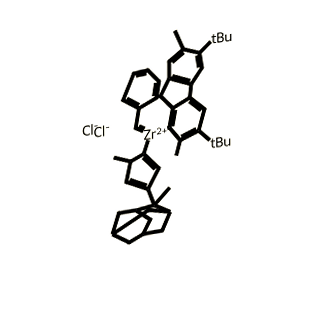 Cc1cc2c(cc1C(C)(C)C)-c1cc(C(C)(C)C)c(C)[c](/[Zr+2](=[CH]\c3ccccc3)[C]3=CC(C4(C)C5CC6CC(C5)CC4C6)=CC3C)c1C2.[Cl-].[Cl-]